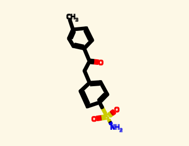 Cc1ccc(C(=O)Cc2ccc(S(N)(=O)=O)cc2)cc1